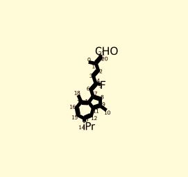 CC(/C=C/C(F)=C/c1cc(C)c2cc(C(C)C)ccc(C)c1-2)=C\C=O